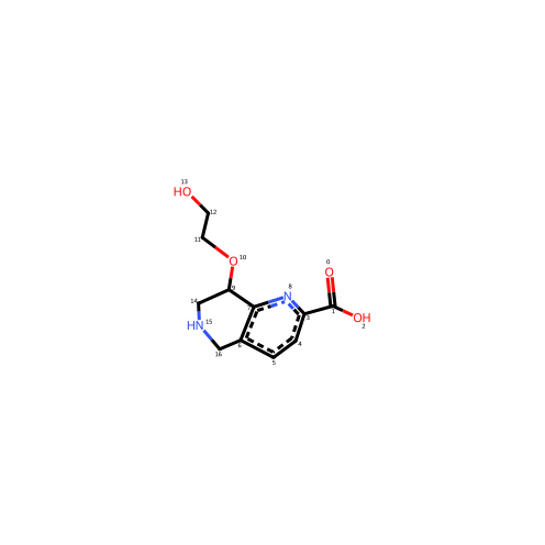 O=C(O)c1ccc2c(n1)C(OCCO)CNC2